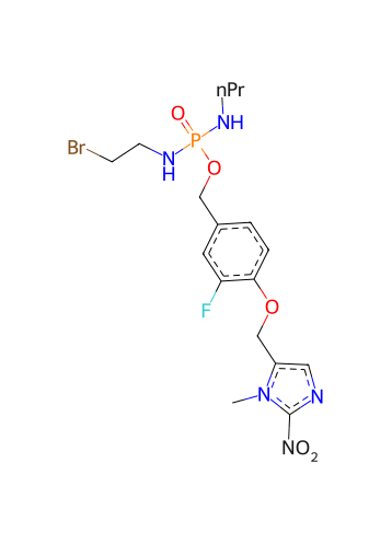 CCCNP(=O)(NCCBr)OCc1ccc(OCc2cnc([N+](=O)[O-])n2C)c(F)c1